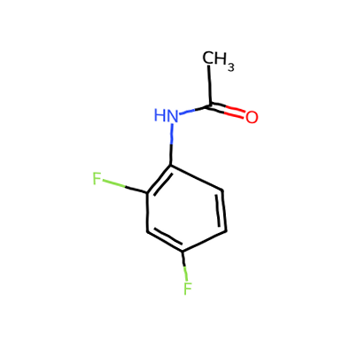 CC(=O)Nc1ccc(F)cc1F